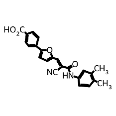 Cc1ccc(NC(=O)/C(C#N)=C/c2ccc(-c3ccc(C(=O)O)cc3)o2)cc1C